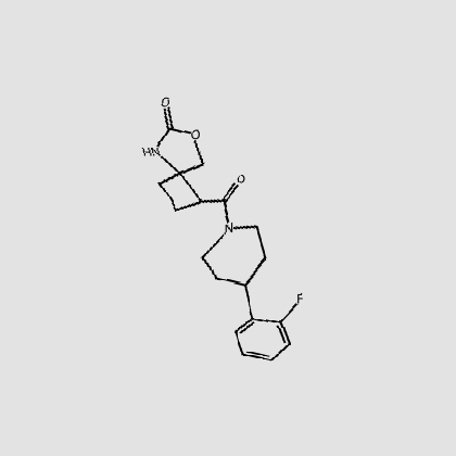 O=C1NC2(CCC2C(=O)N2CCC(c3ccccc3F)CC2)CO1